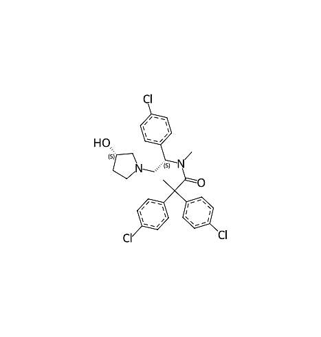 CN(C(=O)C(C)(c1ccc(Cl)cc1)c1ccc(Cl)cc1)[C@H](CN1CC[C@H](O)C1)c1ccc(Cl)cc1